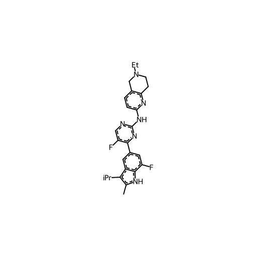 CCN1CCc2nc(Nc3ncc(F)c(-c4cc(F)c5[nH]c(C)c(C(C)C)c5c4)n3)ccc2C1